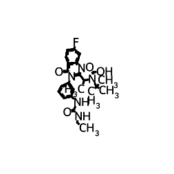 CCNC(=O)Nc1cccc(-n2c(C(C)N(C(=O)O)C(C)(C)C)nc3cc(F)ccc3c2=O)c1